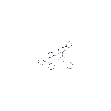 c1ccc(-c2ccc3c(n2)c2c4sc5ccccc5c4ccc2n3-c2cccc(N(c3ccccc3)c3ccccc3)c2)cc1